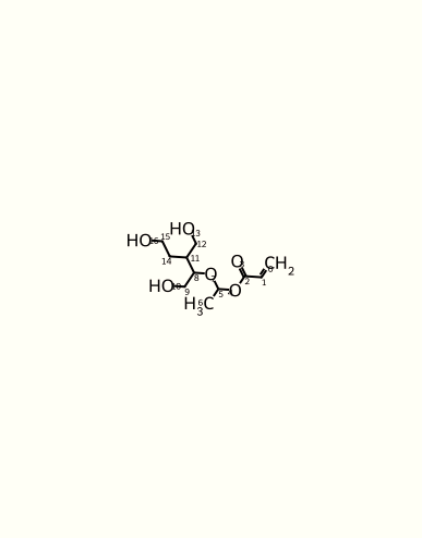 C=CC(=O)OC(C)OC(CO)C(CO)CCO